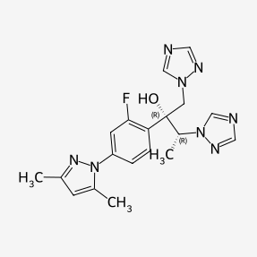 Cc1cc(C)n(-c2ccc([C@@](O)(Cn3cncn3)[C@@H](C)n3cncn3)c(F)c2)n1